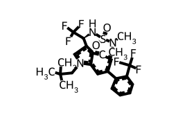 CN(C)S(=O)(=O)N[C@@H](c1cn(CC(C)(C)C)c2cc(-c3ccccc3C(F)(F)F)ccc12)C(F)(F)F